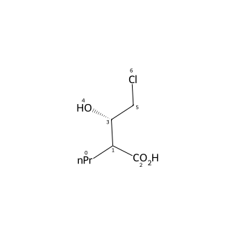 CCCC(C(=O)O)[C@H](O)CCl